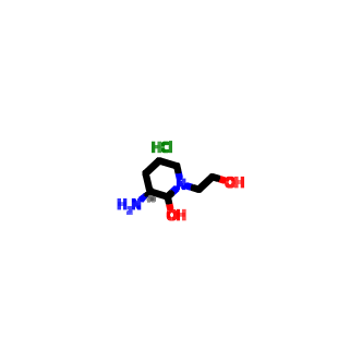 Cl.N[C@H]1CCCN(CCO)C1O